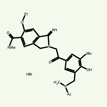 Br.CCOc1cc2c(cc1C(=O)NC)CN(CC(=O)c1cc(CN(C)C(C)=O)c(O)c(C(C)(C)C)c1)C2=N